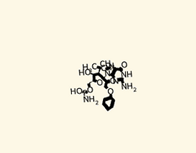 CC(C)(C)[C@@H]1[C@H](O)[C@@H](COP(N)O)O[C@@]1(C(=O)COc1ccccc1)n1cnc2c(=O)[nH]c(N)nc21